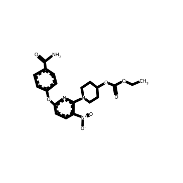 CCOC(=O)OC1CCN(c2nc(Oc3ccc(C(N)=O)cc3)ccc2[N+](=O)[O-])CC1